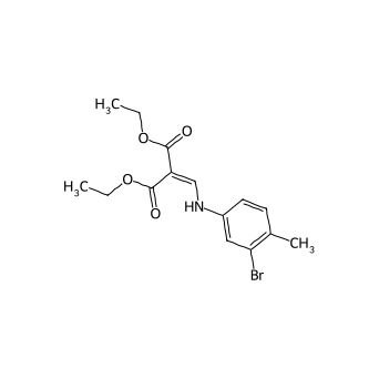 CCOC(=O)C(=CNc1ccc(C)c(Br)c1)C(=O)OCC